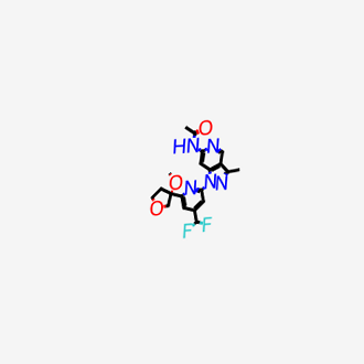 CO[C@]1(c2cc(C(F)F)cc(-n3nc(C)c4cnc(NC(C)=O)cc43)n2)CCOC1